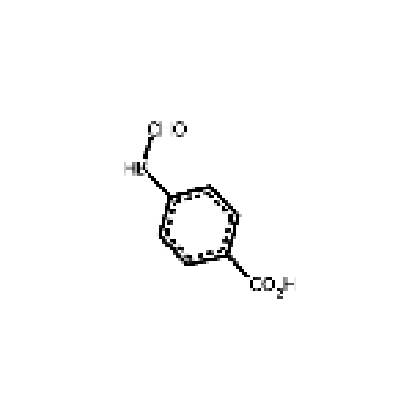 O=CBc1ccc(C(=O)O)cc1